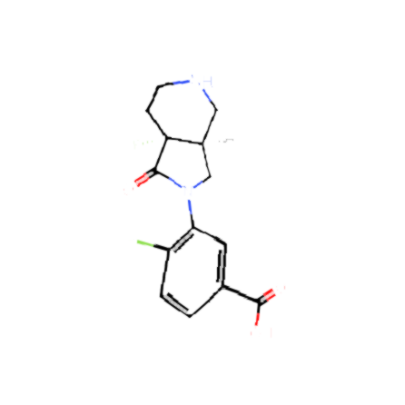 O=C(O)c1ccc(F)c(N2C[C@@H]3CNCC[C@]3(F)C2=O)c1